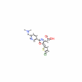 CN(C)Cc1ccc(-c2nc(CC(=O)O)c(-c3ccc(Cl)s3)o2)cn1